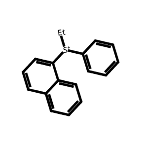 CC[S+](c1ccccc1)c1cccc2ccccc12